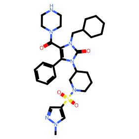 Cn1cc(S(=O)(=O)N2CCCC(n3c(-c4ccccc4)c(C(=O)N4CCNCC4)n(CC4CCCCC4)c3=O)C2)cn1